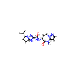 CC(C)[C@H]1CCc2nc(C(=O)N[C@H]3CCn4nccc4N(C)C3=O)nn21